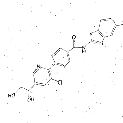 O=C(Nc1nc2cc(F)ccc2s1)c1ccc(-c2ncc([C@H](O)CO)cc2Cl)nc1